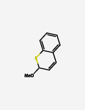 COC1C=Cc2ccccc2S1